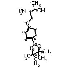 C[C@H](O)[C@@H](N)COc1ccc(B2OC(C)(C)C(C)(C)O2)cc1